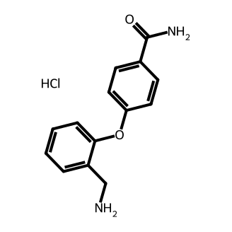 Cl.NCc1ccccc1Oc1ccc(C(N)=O)cc1